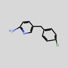 Nc1ccc(Cc2ccc(Cl)cc2)cn1